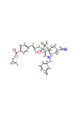 CCOC(=O)c1ccc(C=CCC(O)(c2cn(Cc3cccc(F)c3)c3cc(C#N)ccc23)C(F)(F)F)cc1